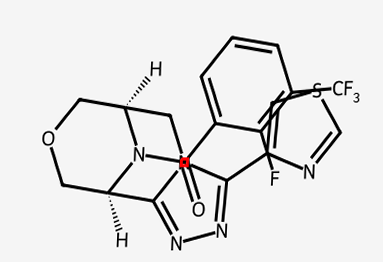 O=C(c1cccc(C(F)(F)F)c1F)N1[C@H]2COC[C@@H]1c1nnc(-c3cscn3)n1C2